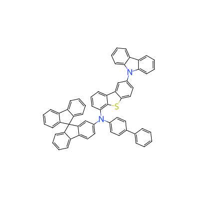 c1ccc(-c2ccc(N(c3ccc4c(c3)C3(c5ccccc5-c5ccccc53)c3ccccc3-4)c3cccc4c3sc3ccc(-n5c6ccccc6c6ccccc65)cc34)cc2)cc1